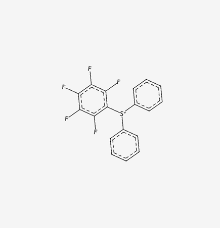 Fc1c(F)c(F)c([S+](c2ccccc2)c2ccccc2)c(F)c1F